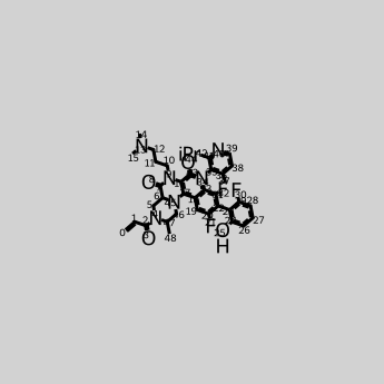 C=CC(=O)N1CC2C(=O)N(CCCN(C)C)c3c(c4cc(F)c(-c5c(O)cccc5F)c(F)c4n(-c4c(C)ccnc4C(C)C)c3=O)N2CC1C